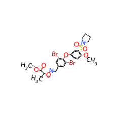 CCOC(=O)C(C)ON=Cc1cc(Br)c(Oc2ccc(OC)c(S(=O)(=O)N3CCCC3)c2)c(Br)c1